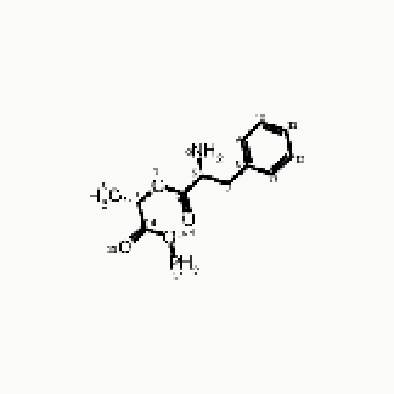 C[C@H](OC(=O)[C@@H](N)Cc1ccccc1)C(=O)OP